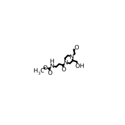 COC(=O)NCCC(=O)N1CCN(CC=O)C(CO)C1